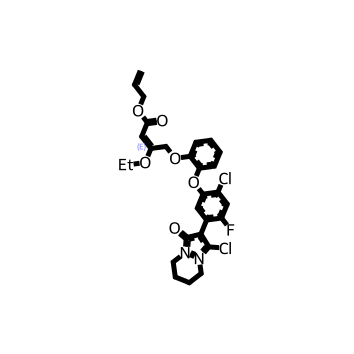 C=CCOC(=O)/C=C(\COc1ccccc1Oc1cc(-c2c(Cl)n3n(c2=O)CCCC3)c(F)cc1Cl)OCC